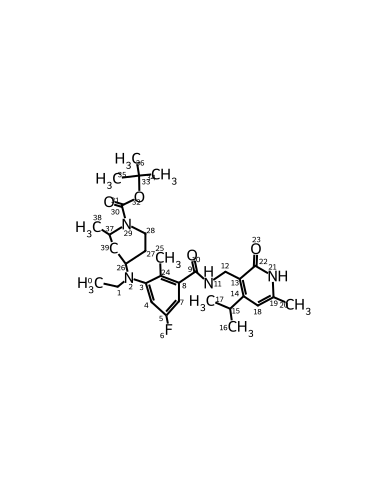 CCN(c1cc(F)cc(C(=O)NCc2c(C(C)C)cc(C)[nH]c2=O)c1C)C1CCN(C(=O)OC(C)(C)C)C(C)C1